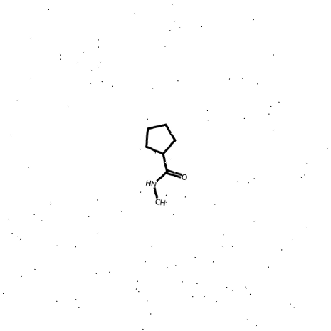 [CH]NC(=O)C1CCCC1